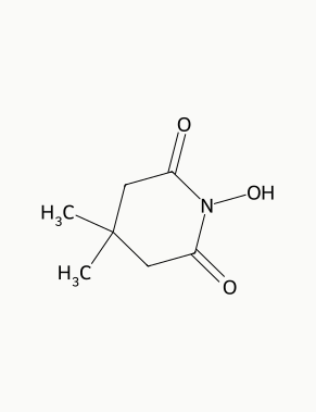 CC1(C)CC(=O)N(O)C(=O)C1